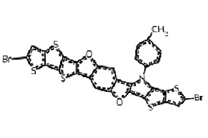 Cc1ccc(-n2c3c4cc5oc6c(sc7c8sc(Br)cc8sc67)c5cc4oc3c3sc4cc(Br)sc4c32)cc1